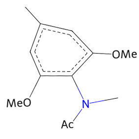 COc1cc(C)cc(OC)c1N(C)C(C)=O